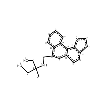 CC(CO)(CO)NCc1cc2ccc3ccsc3c2c2ccccc12